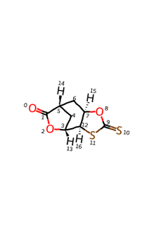 O=C1O[C@@H]2C[C@H]1C[C@H]1OC(=S)S[C@@H]21